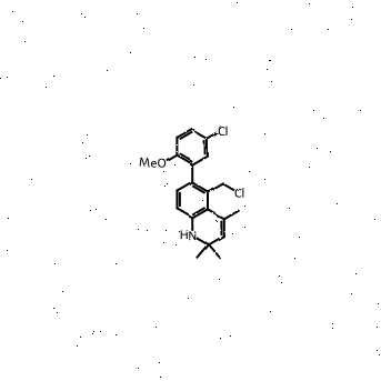 COc1ccc(Cl)cc1-c1ccc2c(c1CCl)C(C)=CC(C)(C)N2